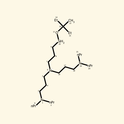 CCCN(CCC)CCCN(CCC[SiH2]OC(C)(CC)CC)CCCN(CCC)CCC